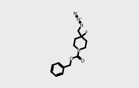 [N-]=[N+]=NCC1(F)CCN(C(=O)OCc2ccccc2)CC1